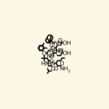 CCCCC(NC(=O)[C@H](CC(C)C)NC(=O)[C@@H](NC(=O)[C@H](Cc1ccccc1C)NC(=O)[C@H](CCC(=O)O)NC(=O)[C@H](CC(=O)O)NC(=O)C12CC3CC(CC(C3)C1)C2)C(C)(C)C)C(=O)C(N)=O